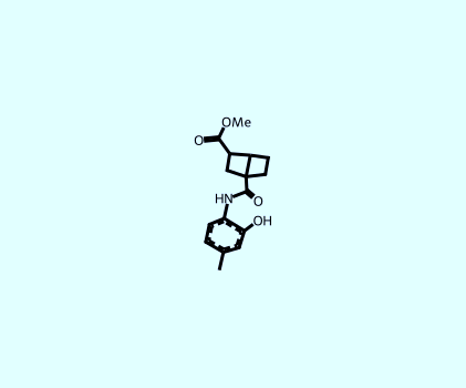 COC(=O)C1CC2(C(=O)Nc3ccc(C)cc3O)CCC12